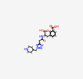 O=C(Cc1nnn(CC2CCNCC2)n1)N[C@H]1Cc2cccc(C(=O)O)c2OB1O